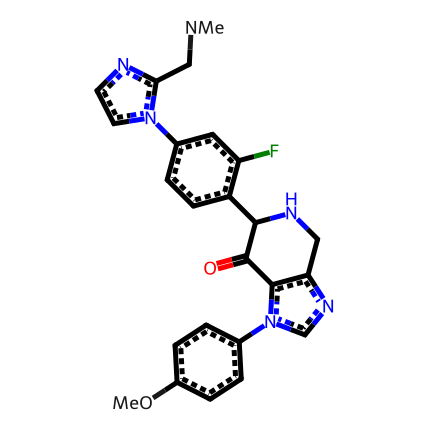 CNCc1nccn1-c1ccc(C2NCc3ncn(-c4ccc(OC)cc4)c3C2=O)c(F)c1